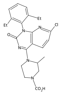 CCc1cccc(CC)c1-n1c(=O)nc(N2CCN(C(=O)O)CC2C)c2ccc(Cl)nc21